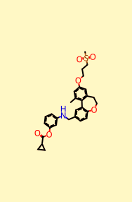 Cc1cc(OCCCS(C)(=O)=O)cc2c1-c1cc(CNc3cccc(OC(=O)C4CC4)c3)ccc1OCC2